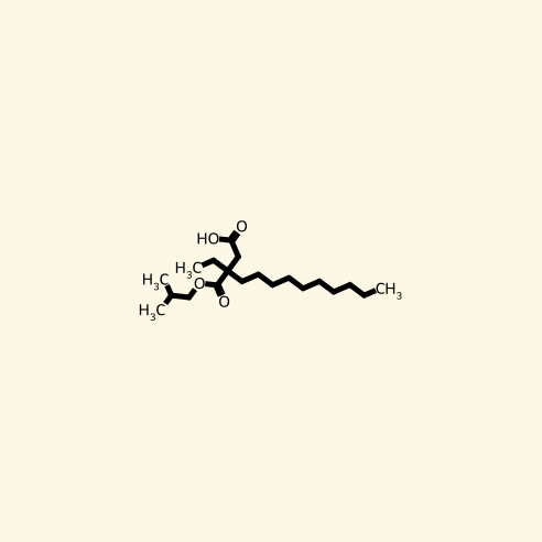 CCCCCCCCCCC(CC)(CC(=O)O)C(=O)OCC(C)C